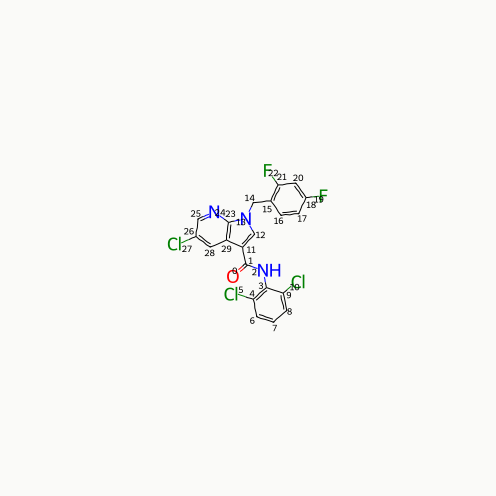 O=C(Nc1c(Cl)cccc1Cl)c1cn(Cc2ccc(F)cc2F)c2ncc(Cl)cc12